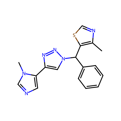 Cc1ncsc1C(c1ccccc1)n1cc(-c2cncn2C)nn1